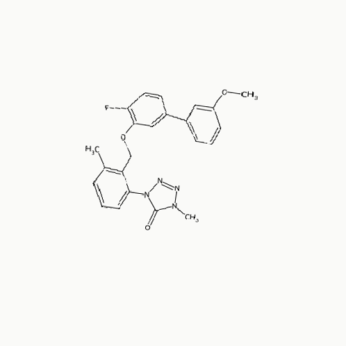 COc1cccc(-c2ccc(F)c(OCc3c(C)cccc3-n3nnn(C)c3=O)c2)c1